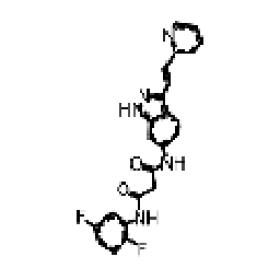 O=C(CC(=O)Nc1cc(F)ccc1F)Nc1ccc2c(C=Cc3ccccn3)n[nH]c2c1